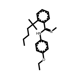 CCCCC(C)(C)c1ccccc1/C(=N\C)Nc1ccc(OCC)cc1